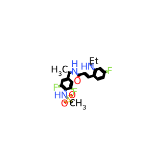 CCNc1cc(F)ccc1C=CC(=O)N[C@H](C)c1cc(F)c(NS(C)(=O)=O)c(F)c1